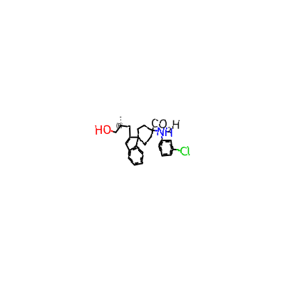 C[C@@H](CO)CC1=Cc2ccccc2C12CCC(Nc1cccc(Cl)c1)(C(=O)O)CC2